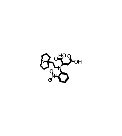 O=C(O)/C=C(\C(=O)O)N(CCC12CCCN1CCC2)c1ccccc1[N+](=O)[O-]